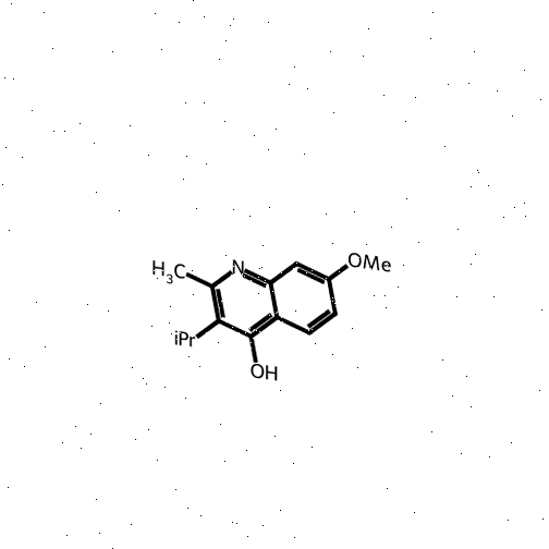 COc1ccc2c(O)c(C(C)C)c(C)nc2c1